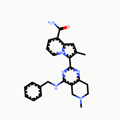 Cc1cc2c(C(N)=O)cccn2c1-c1nc2c(c(NCc3ccccc3)n1)CN(C)CC2